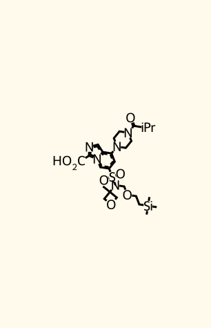 CC(C)C(=O)N1CCN(c2cc(S(=O)(=O)N(COCC[Si](C)(C)C)C3(C)COC3)cn3c(C(=O)O)ncc23)CC1